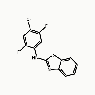 Fc1cc(Nc2nc3ccccc3s2)c(F)cc1Br